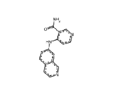 NC(=O)c1cnccc1Nc1ccc2ccncc2c1